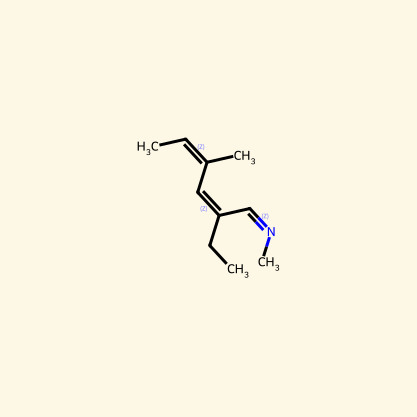 C\C=C(C)/C=C(\C=N/C)CC